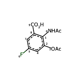 CC(=O)Nc1c(OC(C)=O)cc(F)cc1C(=O)O